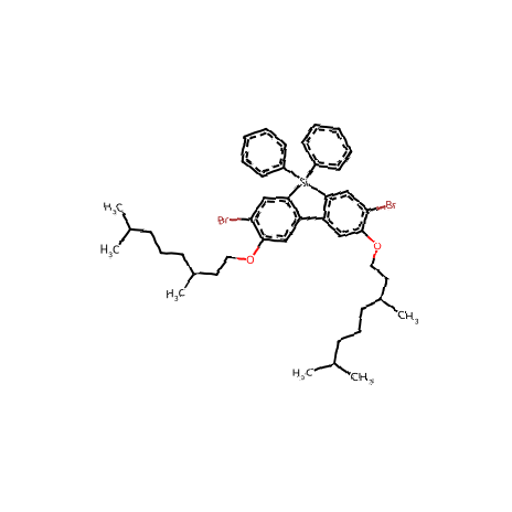 CC(C)CCCC(C)CCOc1cc2c(cc1Br)[Si](c1ccccc1)(c1ccccc1)c1cc(Br)c(OCCC(C)CCCC(C)C)cc1-2